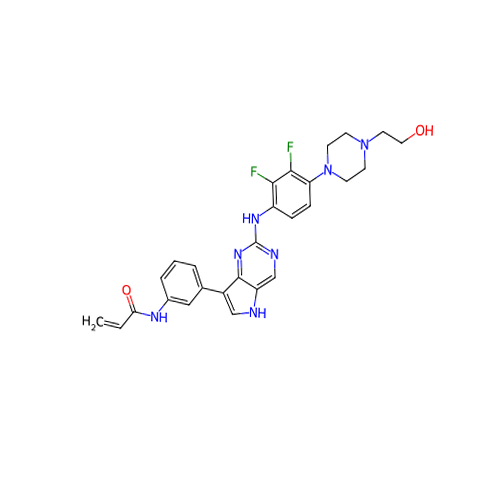 C=CC(=O)Nc1cccc(-c2c[nH]c3cnc(Nc4ccc(N5CCN(CCO)CC5)c(F)c4F)nc23)c1